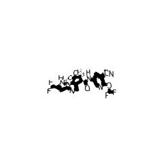 CC1(C)C[C@@H](C(=O)Nc2cnc(OC(F)F)c(C#N)c2)c2cnc3cc(C(F)F)nn3c21